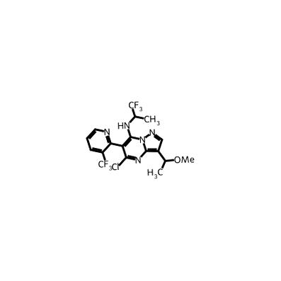 COC(C)c1cnn2c(NC(C)C(F)(F)F)c(-c3ncccc3C(F)(F)F)c(Cl)nc12